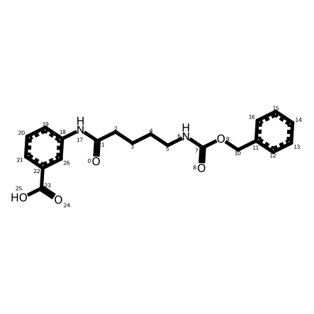 O=C(CCCCNC(=O)OCc1ccccc1)Nc1cccc(C(=O)O)c1